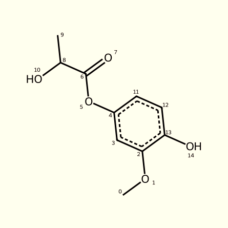 COc1cc(OC(=O)C(C)O)ccc1O